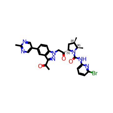 CC(=O)c1nn(CC(=O)[C@@H]2C[C@@H](C)[C@@H](C)N2C(=O)Nc2cccc(Br)n2)c2ccc(-c3cnc(C)nc3)cc12